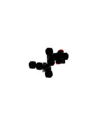 c1ccc(-c2ccc(-c3nc(-c4ccccc4)nc(-c4ccc5c(c4)nc(-c4ccccc4)c4cc6c(cc45)C4(c5ccccc5Sc5ccccc54)c4ccccc4-6)n3)cc2)cc1